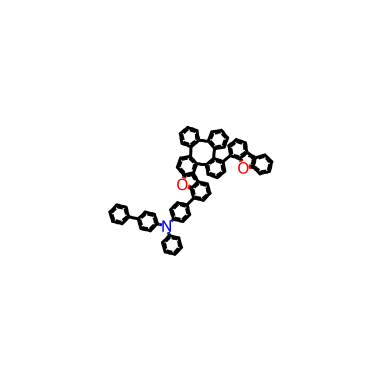 c1ccc(-c2ccc(N(c3ccccc3)c3ccc(-c4cccc5c4oc4ccc6c(c45)-c4cccc(-c5cccc7c5oc5ccccc57)c4-c4ccccc4-c4ccccc4-6)cc3)cc2)cc1